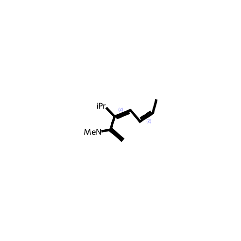 C=C(NC)/C(=C\C=C/C)C(C)C